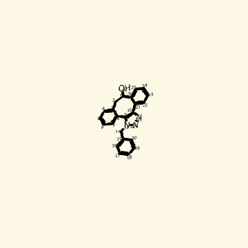 OC1Cc2ccccc2-c2c(nnn2Cc2ccccc2)-c2ccccc21